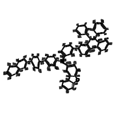 c1ccc(-c2c(-c3ccccc3)c3cc(-c4cccc(N(c5ccc(-c6ccc(-c7ccc8ccccc8c7)cc6)cc5)c5ccc6oc7ccccc7c6c5)c4)ccc3c3ccccc23)cc1